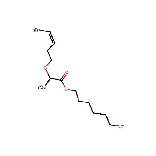 CCC/C=C\CCOC(CCCC)C(=O)OCCCCCCBr